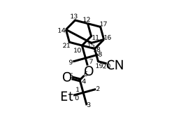 CCC(C)(C)C(=O)OC(C)(C)C12CC3CC(CC(C3)C1CC#N)C2